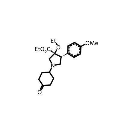 CCOC(=O)[C@]1(OCC)CN(C2CCC(=O)CC2)C[C@H]1c1ccc(OC)cc1